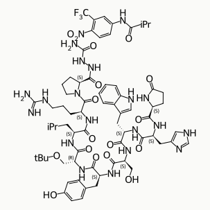 CC(C)C(=O)Nc1ccc([N+](=O)[O-])c(C(F)(F)F)c1.CC(C)C[C@H](NC(=O)[C@@H](COC(C)(C)C)NC(=O)[C@H](Cc1ccc(O)cc1)NC(=O)[C@H](CO)NC(=O)[C@H](Cc1c[nH]c2ccccc12)NC(=O)[C@H](Cc1c[nH]cn1)NC(=O)[C@@H]1CCC(=O)N1)C(=O)N[C@@H](CCCNC(=N)N)C(=O)N1CCC[C@H]1C(=O)NNC(N)=O